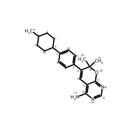 CC1CCC(c2ccc(C3=Cc4c(N)ncnc4OC3(C)C)cc2)CC1